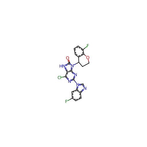 O=c1[nH]c2c(Cl)nc(-n3cnc4ccc(F)cc43)nc2n1C1CCOc2c(F)cccc21